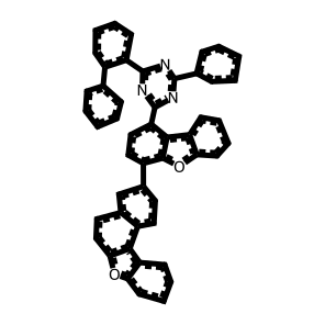 c1ccc(-c2nc(-c3ccccc3-c3ccccc3)nc(-c3ccc(-c4ccc5c(ccc6oc7ccccc7c65)c4)c4oc5ccccc5c34)n2)cc1